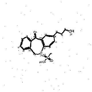 CS(=O)(=O)O.O=C1c2ccccc2COc2ccc(CCCO)cc21